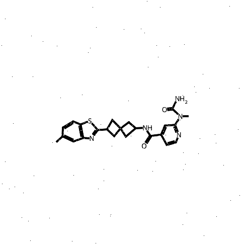 Cc1ccc2sc(C3CC4(CC(NC(=O)c5ccnc(N(C)C(N)=O)c5)C4)C3)nc2c1